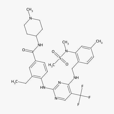 CCc1cc(C(=O)NC2CCN(C)CC2)ccc1Nc1ncc(C(F)(F)F)c(NCc2ccc(C)cc2N(C)S(C)(=O)=O)n1